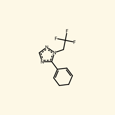 FC(F)(F)Cn1ncnc1C1=CCCC=C1